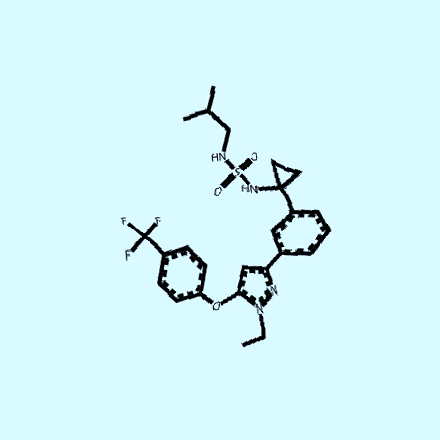 CCn1nc(-c2cccc(C3(NS(=O)(=O)NCC(C)C)CC3)c2)cc1Oc1ccc(C(F)(F)F)cc1